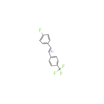 Fc1ccc(/C=C/c2ccc(C(F)(F)F)cc2)cc1